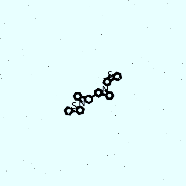 C1=C(c2ccc3c(c2)c2ccccc2n3-c2ccc3sc4ccccc4c3c2)CCc2c1c1ccccc1n2-c1cccc2c1sc1ccccc12